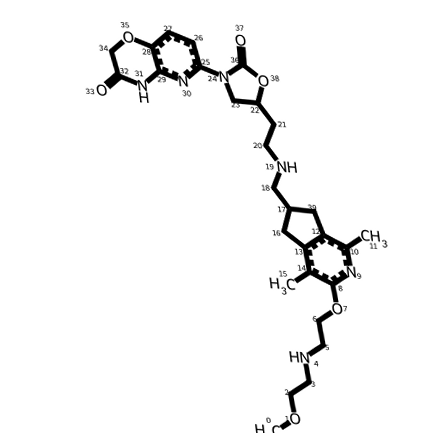 COCCNCCOc1nc(C)c2c(c1C)CC(CNCCC1CN(c3ccc4c(n3)NC(=O)CO4)C(=O)O1)C2